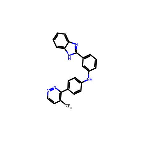 FC(F)(F)c1ccnnc1-c1ccc(Nc2cccc(-c3nc4ccccc4[nH]3)c2)cc1